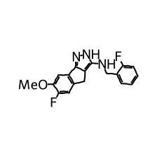 COc1cc2c(cc1F)Cc1c-2n[nH]c1NCc1ccccc1F